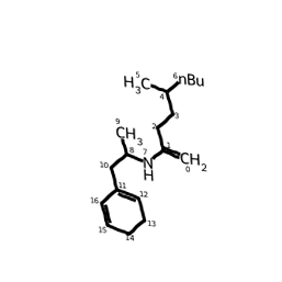 C=C(CCC(C)CCCC)NC(C)CC1=CCCC=C1